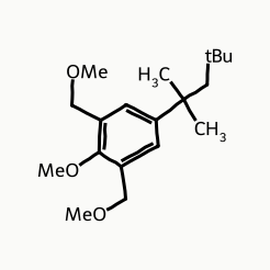 COCc1cc(C(C)(C)CC(C)(C)C)cc(COC)c1OC